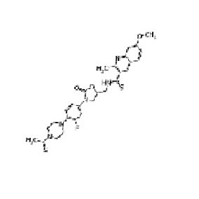 COc1ccc2cc(C(=S)NC[C@H]3CN(c4ccc(N5CCN(C(C)=S)CC5)c(F)c4)C(=O)O3)c(C)nc2c1